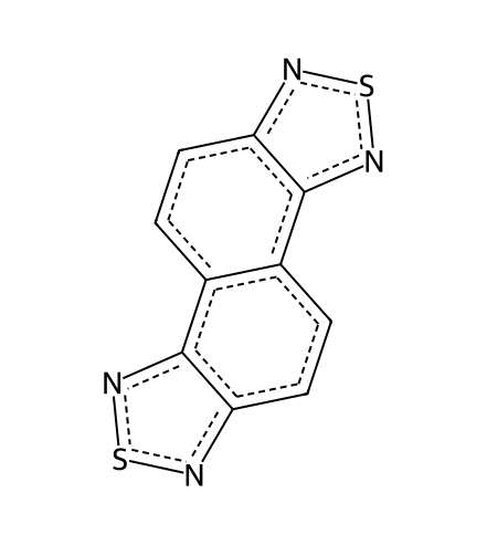 c1cc2c(ccc3nsnc32)c2nsnc12